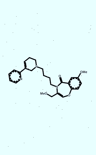 COCC1=COc2ccc(OC)cc2C(=O)N1CCCCN1CCC=C(c2ccccn2)C1